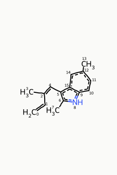 C=C/C(C)=C\c1c(C)[nH]c2ccc(C)cc12